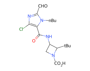 CCCCn1c(C=O)nc(Cl)c1C(=O)NC1CN(C(=O)O)C1C(C)(C)C